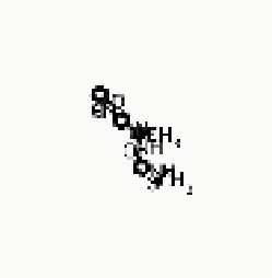 CC(=O)Nc1cccc(C(=O)Nc2cc(-c3ccc(NC(=O)c4ccccc4Cl)cc3)nn2C)c1